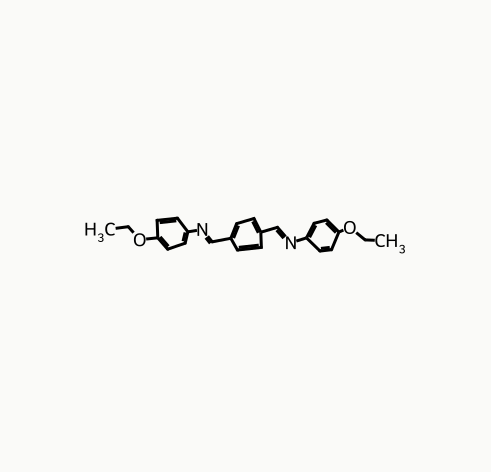 CCOc1ccc(N=Cc2ccc(C=Nc3ccc(OCC)cc3)cc2)cc1